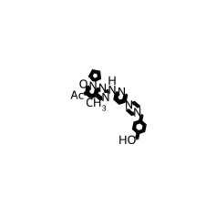 CC(=O)c1c(C)c2cnc(Nc3ccc(N4CCN(CC5CCC(CO)CC5)CC4)cn3)nc2n(C2CCCC2)c1=O